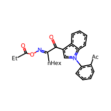 CCCCCC/C(=N\OC(=O)CC)C(=O)c1cn(-c2ccccc2C(C)=O)c2ccccc12